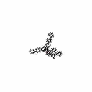 c1ccc(-c2ccc(-c3ccc(N(c4ccc(-c5ccc(-c6ccccc6)cc5)cc4)c4cccc(-c5cccc6c5c5c(-c7ccccc7)cccc5n6-c5ccccc5)c4)cc3)cc2)cc1